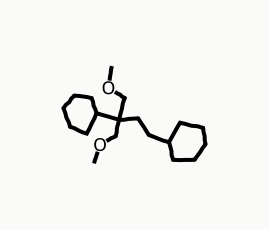 COCC(CCC1CCCCC1)(COC)C1CCCCC1